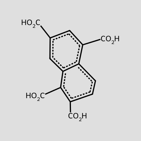 O=C(O)c1cc(C(=O)O)c2ccc(C(=O)O)c(C(=O)O)c2c1